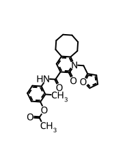 CC(=O)Oc1cccc(NC(=O)c2cc3c(n(Cc4ccco4)c2=O)CCCCCC3)c1C